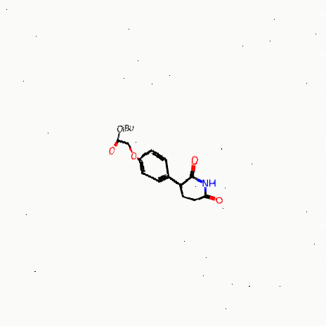 CC(C)COC(=O)COc1ccc(C2CCC(=O)NC2=O)cc1